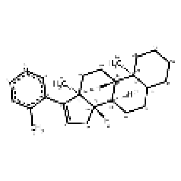 Cc1ccncc1C1=CC[C@H]2[C@@H]3CCC4CCCC[C@]4(C)[C@H]3CC[C@]12C